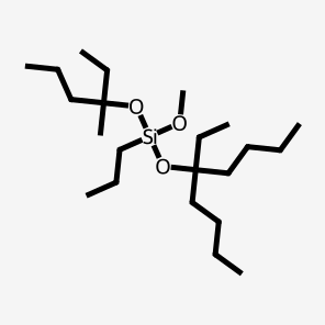 CCCCC(CC)(CCCC)O[Si](CCC)(OC)OC(C)(CC)CCC